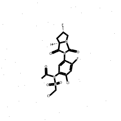 CC(=O)N(c1cc(N2C(=O)[C@H]3C[C@H](F)CN3C2=O)c(F)cc1Cl)S(=O)(=O)CCl